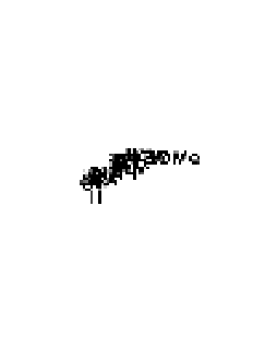 COCCOc1cccc2c1ccn2-c1ccnc(N[C@H]2CC[C@H](NS(C)(=O)=O)CC2)n1